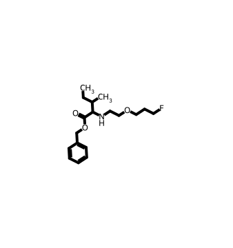 CCC(C)C(NCCOCCCF)C(=O)OCc1ccccc1